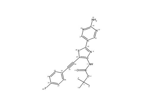 CC(C)(C)OC(=O)Nc1nc(-c2cnc(N)nc2)sc1C#Cc1ccc(F)cc1